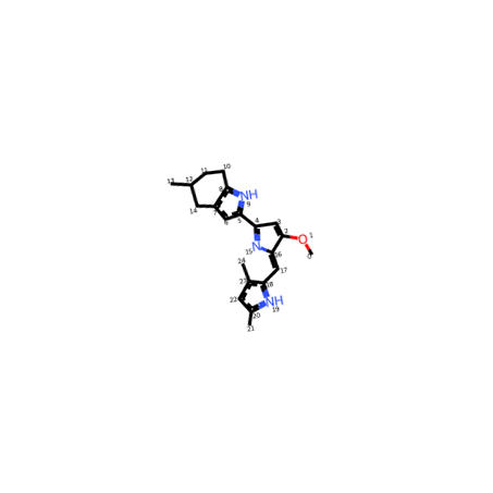 COC1=CC(c2cc3c([nH]2)CCC(C)C3)=NC1=Cc1[nH]c(C)cc1C